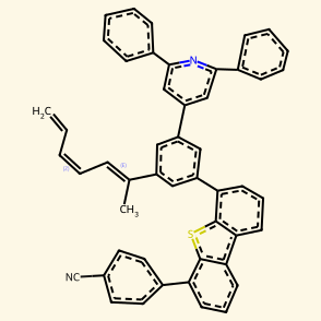 C=C/C=C\C=C(/C)c1cc(-c2cc(-c3ccccc3)nc(-c3ccccc3)c2)cc(-c2cccc3c2sc2c(-c4ccc(C#N)cc4)cccc23)c1